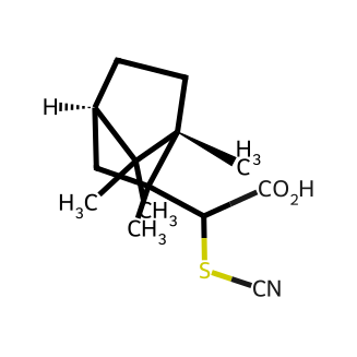 CC1(C(SC#N)C(=O)O)C[C@H]2CC[C@@]1(C)C2(C)C